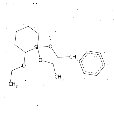 CCOC1CCCC[Si]1(OCC)OCC.c1ccccc1